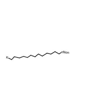 CCCCCCCCCCCCCCCCCCCCC[CH2][K]